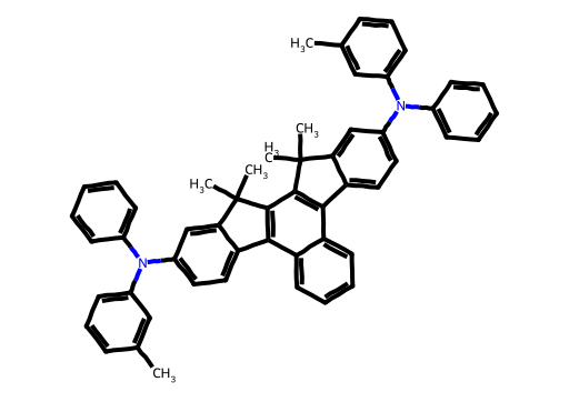 Cc1cccc(N(c2ccccc2)c2ccc3c(c2)C(C)(C)c2c4c(c5ccccc5c2-3)-c2ccc(N(c3ccccc3)c3cccc(C)c3)cc2C4(C)C)c1